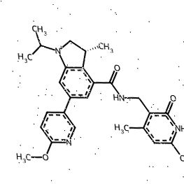 COc1ccc(-c2cc(C(=O)NCc3c(C)cc(C)[nH]c3=O)c3c(c2)N(C(C)C)C[C@@H]3C)cn1